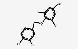 CC(=O)c1cc(C)c(OCc2ccc(Cl)c(Cl)c2)c(C)c1